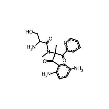 CN(C(=O)C(N)CO)C(C)(C(=O)c1ccccn1)C(=O)c1cc(N)ccc1N